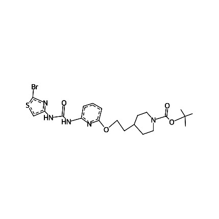 CC(C)(C)OC(=O)N1CCC(CCOc2cccc(NC(=O)Nc3csc(Br)n3)n2)CC1